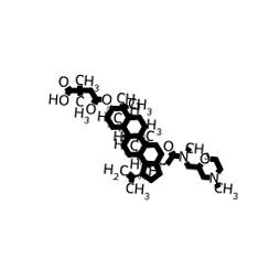 C=C(C)[C@@H]1CC[C@]2(CC(=O)N(C)CC3CN(C)CCO3)CC[C@]3(C)[C@H](CC[C@@H]4[C@@]5(C)CC[C@H](OC(=O)CC(C)(C)C(=O)O)C(C)(C)[C@@H]5CC[C@]43C)[C@@H]12